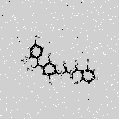 Cc1ccc(C(C#N)c2cc(Cl)c(NC(=O)NC(=O)c3c(F)cccc3F)cc2Cl)c(C)c1